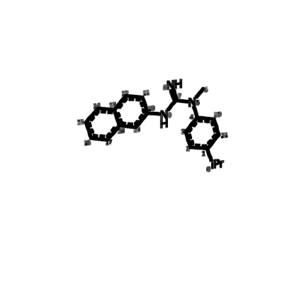 CC(C)c1ccc(N(C)C(=N)Nc2ccc3ccccc3c2)cc1